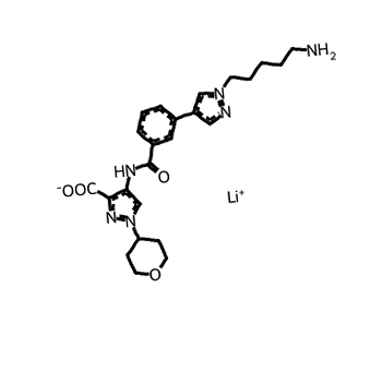 NCCCCCn1cc(-c2cccc(C(=O)Nc3cn(C4CCOCC4)nc3C(=O)[O-])c2)cn1.[Li+]